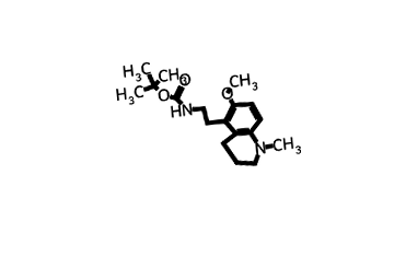 COc1ccc2c(c1CCNC(=O)OC(C)(C)C)CCCN2C